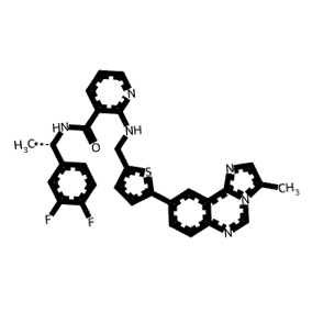 Cc1cnc2c3cc(-c4ccc(CNc5ncccc5C(=O)N[C@@H](C)c5ccc(F)c(F)c5)s4)ccc3ncn12